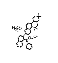 COCOB(c1ccccc1)c1c(-c2ccc3c4c(ccc3c2)C2=C(CC(C)(C)C=C2)CC4(C)C)ccc2ccccc12.O.O